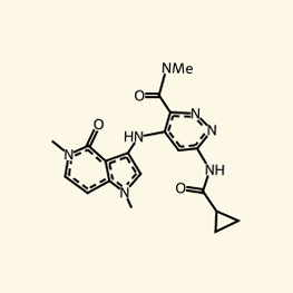 CNC(=O)c1nnc(NC(=O)C2CC2)cc1Nc1cn(C)c2ccn(C)c(=O)c12